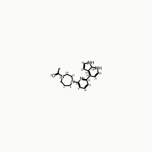 CC(=O)N1CCCN(c2cccc(C3=C4C=CNC4NC=C3)n2)CC1